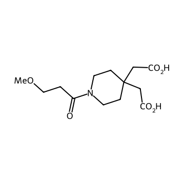 COCCC(=O)N1CCC(CC(=O)O)(CC(=O)O)CC1